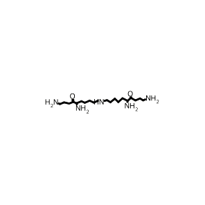 NCCCC(=O)C(N)CCCCCNCCCCCC(N)C(=O)CCCN